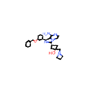 Nc1nccn2c1c(-c1cccc(OCc3ccccc3)c1)nc2[C@H]1C[C@](O)(CN2CCC2)C1